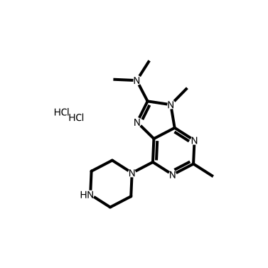 Cc1nc(N2CCNCC2)c2nc(N(C)C)n(C)c2n1.Cl.Cl